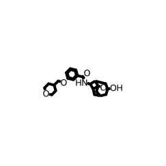 O=C(NC1C2CC3CC4(O)CC1C2(C3)C4)c1cccc(OCC2CCOCC2)c1